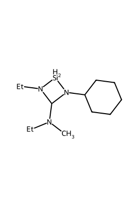 CCN(C)C1N(CC)[SiH2]N1C1CCCCC1